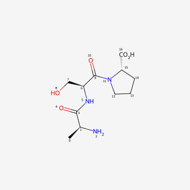 C[C@H](N)C(=O)N[C@@H](CO)C(=O)N1CCC[C@H]1C(=O)O